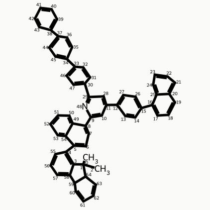 CC1(C)c2c(-c3ccc(-c4cc(-c5ccc(-c6cccc7ccccc67)cc5)cc(-c5ccc(-c6ccc(-c7ccccc7)cc6)cc5)n4)c4ccccc34)cccc2C2C=CC=CC21